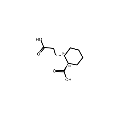 O=C(O)CC[C@@H]1CCCC[C@H]1C(=O)O